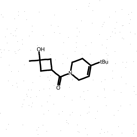 CC1(O)CC(C(=O)N2CC=C(C(C)(C)C)CC2)C1